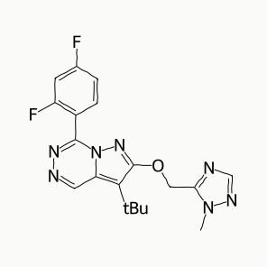 Cn1ncnc1COc1nn2c(-c3ccc(F)cc3F)nncc2c1C(C)(C)C